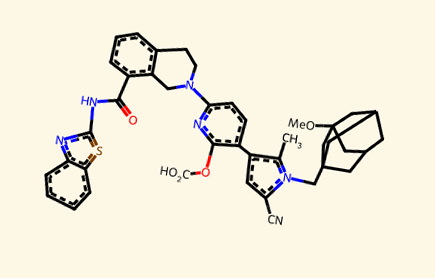 COC12CC3CC(CC(Cn4c(C#N)cc(-c5ccc(N6CCc7cccc(C(=O)Nc8nc9ccccc9s8)c7C6)nc5OC(=O)O)c4C)(C3)C1)C2